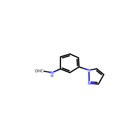 O=CNc1cccc(-n2cccn2)c1